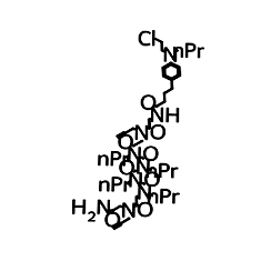 C#CCN(CC(N)=O)C(=O)CN(CCC)C(=O)N(CCC)C(=O)N(CCC)C(=O)N(CCC)C(=O)CN(CC#C)C(=O)CNC(=O)CCCc1ccc(N(CCC)CCCl)cc1